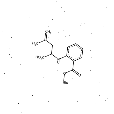 C=C(C)CC(Nc1ccccc1C(=O)OC(C)(C)C)C(=O)O